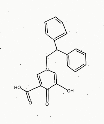 O=C(O)c1cn(CC(c2ccccc2)c2ccccc2)cc(O)c1=O